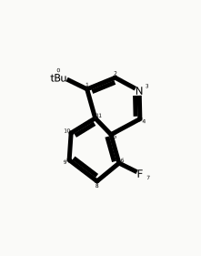 CC(C)(C)c1cncc2c(F)cccc12